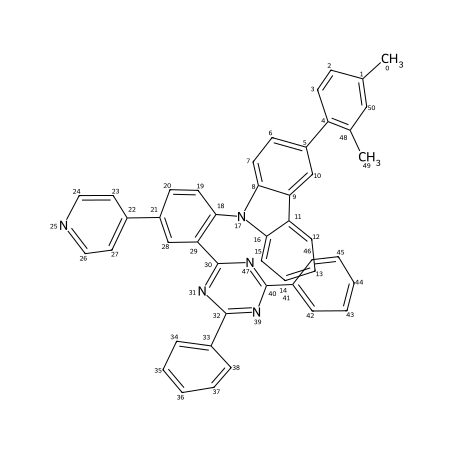 Cc1ccc(-c2ccc3c(c2)c2ccccc2n3-c2ccc(-c3ccncc3)cc2-c2nc(-c3ccccc3)nc(-c3ccccc3)n2)c(C)c1